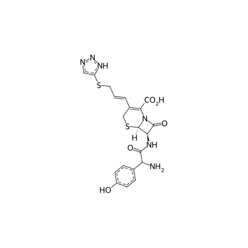 NC(C(=O)N[C@@H]1C(=O)N2C(C(=O)O)=C(/C=C/CSc3cnn[nH]3)CS[C@H]12)c1ccc(O)cc1